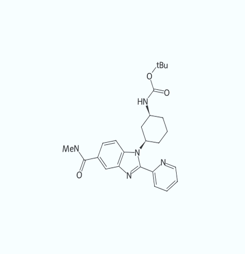 CNC(=O)c1ccc2c(c1)nc(-c1ccccn1)n2[C@@H]1CCC[C@H](NC(=O)OC(C)(C)C)C1